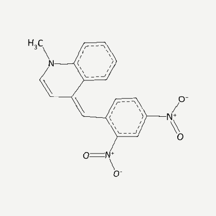 CN1C=C/C(=C/c2ccc([N+](=O)[O-])cc2[N+](=O)[O-])c2ccccc21